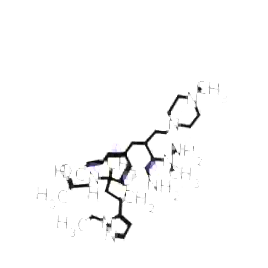 C=C(CC(C)(NCC(C)=O)\C(F)=C/C(=C\C=C\C)CC(CCN1CCN(C)CC1)/C(=C/N)N(C)N)c1ccnn1CC